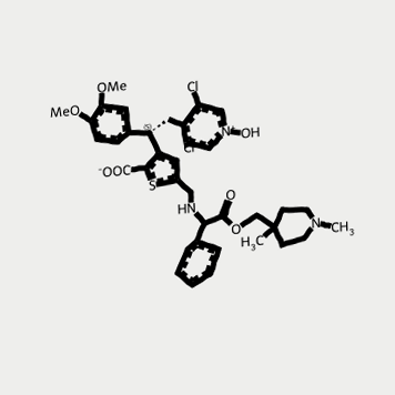 COc1ccc([C@H](Cc2c(Cl)c[n+](O)cc2Cl)c2cc(CNC(C(=O)OCC3(C)CCN(C)CC3)c3ccccc3)sc2C(=O)[O-])cc1OC